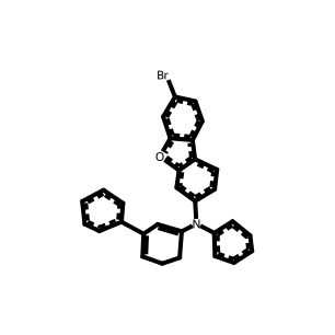 Brc1ccc2c(c1)oc1cc(N(C3=CC(c4ccccc4)=CCC3)c3ccccc3)ccc12